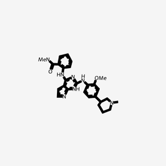 CNC(=O)c1ccccc1Nc1nc(Nc2ccc(C3CCCN(C)C3)cc2OC)[nH]c2nccc1-2